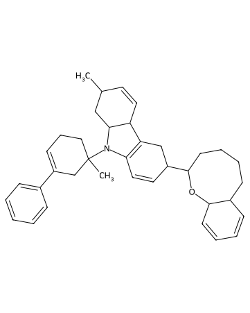 CC1C=CC2C3=C(C=CC(C4CCCCC5C=CC=CC5O4)C3)N(C3(C)CCC=C(c4ccccc4)C3)C2C1